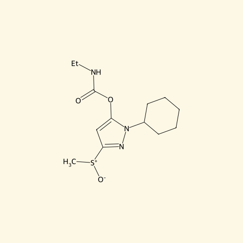 CCNC(=O)Oc1cc([S+](C)[O-])nn1C1CCCCC1